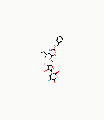 CC[C@H](C)[C@H](NC(=O)OCc1ccccc1)C(=O)OC[C@@H]1O[C@H](n2cc(F)c(=O)[nH]c2=O)C(O)C1O